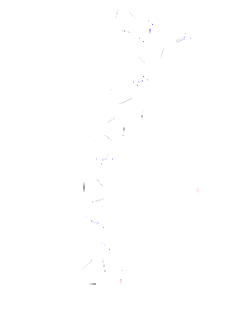 Cc1cc(N=Nc2c(SOOO)cc3c(S(=O)(=O)O)c(N=Nc4c(C)c(C#N)c5nc6ccccc6n5c4O)ccc3c2O)c(OCCOCCO)cc1N=Nc1nc2c(S(=O)(=O)O)cc(SOOO)cc2s1